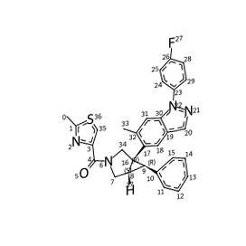 Cc1nc(C(=O)N2C[C@H]3[C@H](c4ccccc4)[C@@]3(c3cc4cnn(-c5ccc(F)cc5)c4cc3C)C2)cs1